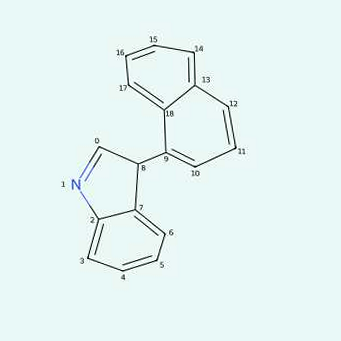 C1=Nc2ccccc2C1c1cccc2ccccc12